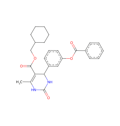 CC1=C(C(=O)OCC2CCCCC2)C(c2cccc(OC(=O)c3ccccc3)c2)NC(=O)N1